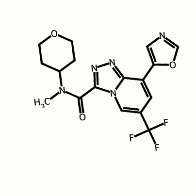 CN(C(=O)c1nnc2c(-c3cnco3)cc(C(F)(F)F)cn12)C1CCOCC1